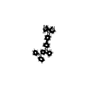 c1ccc(N(c2ccccc2)c2ccc3c(c2)c2ccccc2n3-c2ccc(-c3ccc(-n4c5ccncc5c5cnccc54)cc3)cc2)cc1